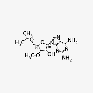 COC1C(O)[C@H](n2cnc3c(N)nc(N)nc32)O[C@@H]1COC(C)C